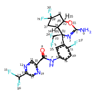 NC1=N[C@@](c2cc(NC(=O)c3cnc(C(F)F)cn3)ccc2F)(C(F)F)[C@H]2CC(F)(F)C[C@H]2O1